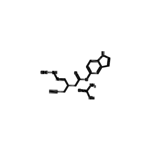 C#CCC(C=NNC=O)CC(=O)Oc1ccc2[nH]ccc2c1.CCCCC(N)=O